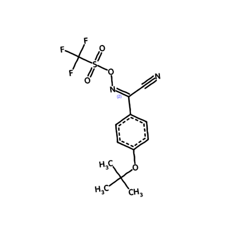 CC(C)(C)Oc1ccc(/C(C#N)=N/OS(=O)(=O)C(F)(F)F)cc1